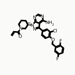 C=CC(=O)N1CCC[C@@H](n2nc(-c3ccc(OCc4cc(F)ccc4F)c(Cl)c3)c3c(N)ncnc32)C1